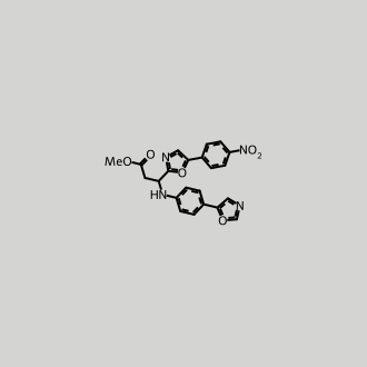 COC(=O)CC(Nc1ccc(-c2cnco2)cc1)c1ncc(-c2ccc([N+](=O)[O-])cc2)o1